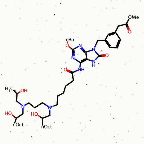 CCCCCCCCC(O)CN(CCCCCC(=O)Nc1nc(OCCCC)nc2c1[nH]c(=O)n2Cc1cccc(CC(=O)OC)c1)CCCN(CC(C)O)CC(O)CCCCCCCC